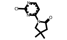 CC1(C)CC(=O)N(c2ccnc(Cl)n2)C1